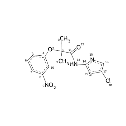 CC(C)(Oc1cccc([N+](=O)[O-])c1)C(=O)Nc1ncc(Cl)s1